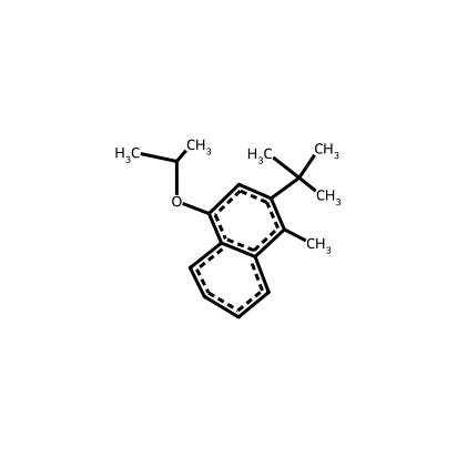 Cc1c(C(C)(C)C)cc(OC(C)C)c2ccccc12